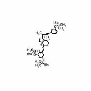 C[C@@H](C#Cc1cccc(O[Si](C)(C)C(C)(C)C)c1)[C@H]1CC[C@H]2/C(=C/C=C3C[C@@H](O[Si](C)(C)C(C)(C)C)C[C@H](O[Si](C)(C)C(C)(C)C)C3)CCC[C@]12C